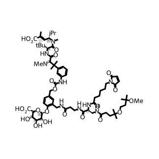 CN[C@H](C(=O)N[C@H](C(=O)N(C)[C@H](/C=C(\C)C(=O)O)C(C)C)C(C)(C)C)C(C)(C)c1cccc(NC(=O)OCc2ccc(O[C@@H]3O[C@H](C(=O)O)[C@@H](O)[C@H](O)[C@H]3O)c(CNC(=O)CCNC(=O)[C@H](CNC(=O)CCC(C)(C)OCCC(C)(C)OC)NC(=O)CCCCCN3C(=O)C=CC3=O)c2)c1